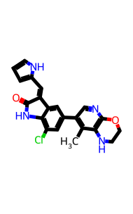 Cc1c(-c2cc(Cl)c3c(c2)C(=Cc2ccc[nH]2)C(=O)N3)cnc2c1NCCO2